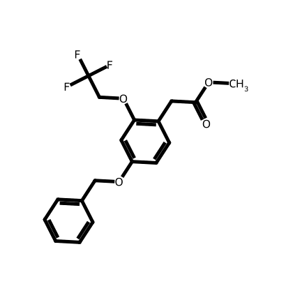 COC(=O)Cc1ccc(OCc2ccccc2)cc1OCC(F)(F)F